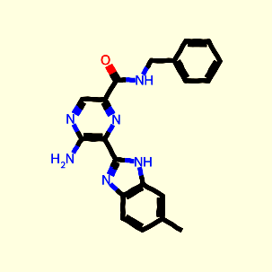 Cc1ccc2nc(-c3nc(C(=O)NCc4ccccc4)cnc3N)[nH]c2c1